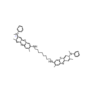 CC1=CC2=Nc3cc(C)c(NCCCCCCCCNc4cc5sc6c/c(=[N+](/C)c7ccccc7)c(C)cc-6nc5cc4C)cc3SC2=CC1N(C)c1ccccc1